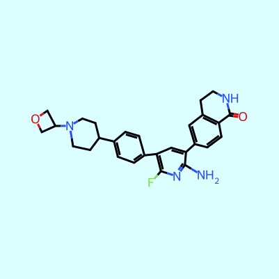 Nc1nc(F)c(-c2ccc(C3CCN(C4COC4)CC3)cc2)cc1-c1ccc2c(c1)CCNC2=O